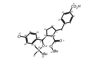 CC(C)(C)OC(=O)N1C(Cc2ccc(C(=O)O)cc2)CC[C@@H]1C(O[Si](C)(C)C(C)(C)C)c1ccc(Cl)cc1